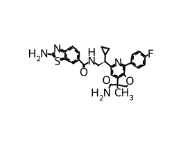 C[C@]1(C(N)=O)COc2c1cc([C@@H](CNC(=O)c1ccc3nc(N)sc3c1)C1CC1)nc2-c1ccc(F)cc1